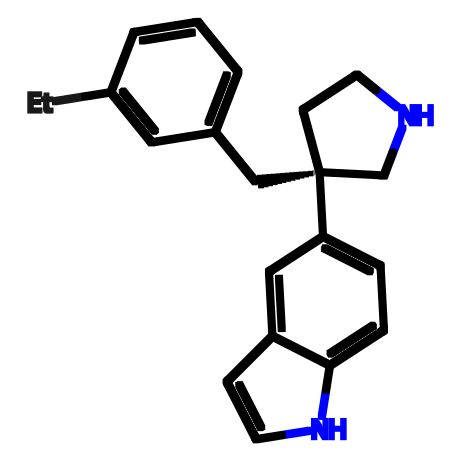 CCc1cccc(C[C@]2(c3ccc4[nH]ccc4c3)CCNC2)c1